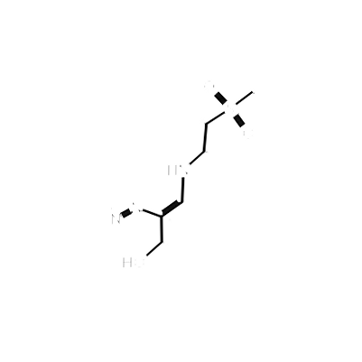 CS(=O)(=O)CCN/C=C(/CO)N=N